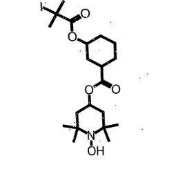 CC(C)(I)C(=O)OC1CCCC(C(=O)OC2CC(C)(C)N(O)C(C)(C)C2)C1